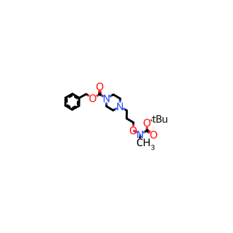 CN(OCCCN1CCN(C(=O)OCc2ccccc2)CC1)C(=O)OC(C)(C)C